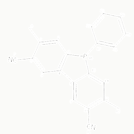 Cc1cc2c(cc1C#N)c1cc(C#N)c(C)cc1p2-c1ccccc1